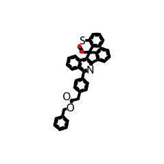 O=C(Cc1ccc(-c2nc3c(c4ccccc24)C2(c4ccccc4Sc4ccccc42)c2ccccc2-3)cc1)OCc1ccccc1